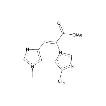 COC(=O)C(=Cc1cn(C)cn1)n1cnc(C(F)(F)F)c1